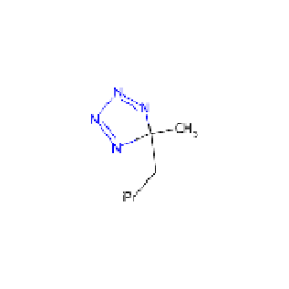 CC(C)CC1(C)N=NN=N1